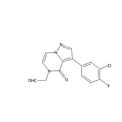 O=CCn1ccn2ncc(-c3ccc(F)c(Cl)c3)c2c1=O